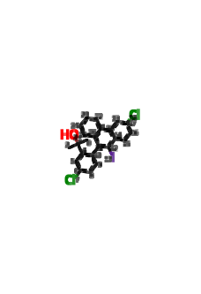 CC(C)(O)c1cc(Cl)ccc1-c1c(I)c2ccc(Cl)cc2c2ccccc12